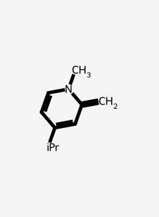 C=C1C=C(C(C)C)C=CN1C